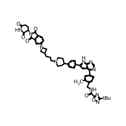 Cc1cc(-c2ncnc3[nH]c(-c4ccc(C5CCN(CCCC6CN(c7ccc8c(c7)C(=O)N(C7CCC(=O)NC7=O)C8=O)C6)CC5)cc4)cc23)ccc1CNC(=O)c1nc(C(C)(C)C)no1